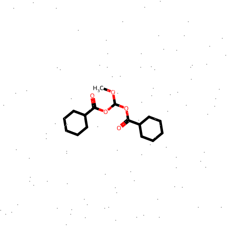 COC(OC(=O)C1CCCCC1)OC(=O)C1CCCCC1